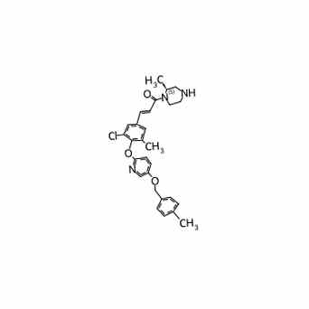 Cc1ccc(COc2ccc(Oc3c(C)cc(C=CC(=O)N4CCNC[C@@H]4C)cc3Cl)nc2)cc1